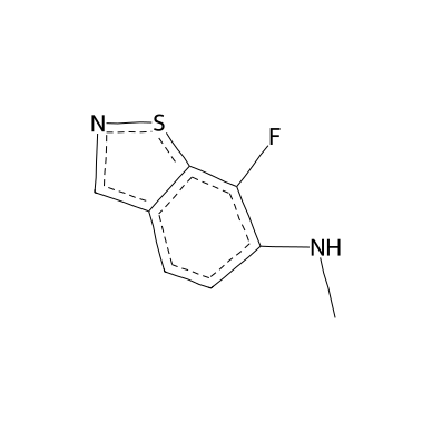 CNc1ccc2cnsc2c1F